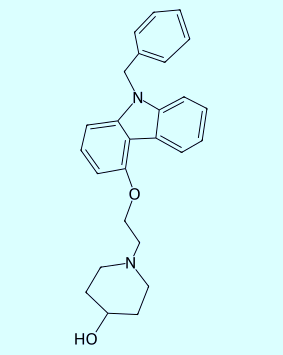 OC1CCN(CCOc2cccc3c2c2ccccc2n3Cc2ccccc2)CC1